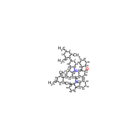 Cc1cc(C)c(-c2ccc3c(c2)c2cc(-c4c(C)cc(C)cc4C)cc4c2n3-c2c3c(cc5oc6ccccc6c25)-c2cccc5c6ccccc6n(c25)B34)c(C)c1